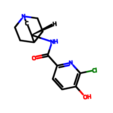 O=C(N[C@H]1CN2CCC1CC2)c1ccc(O)c(Cl)n1